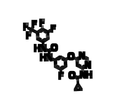 O=C(Nc1cc(F)cc(Oc2cc(NC(=O)C3CC3)ncn2)c1)Nc1cc(F)c(F)c(C(F)(F)F)c1